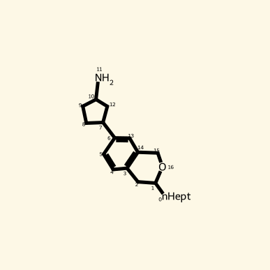 CCCCCCCC1Cc2ccc(C3CCC(N)C3)cc2CO1